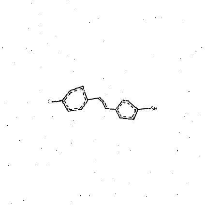 Sc1ccc(C=Cc2ccc(Cl)cc2)cc1